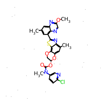 COc1cnc2c(-c3nc4c(C)cc5c(c4s3)OC[C@@H](OC(=O)N(C)c3ccc(Cl)nc3)O5)cc(C)cc2n1